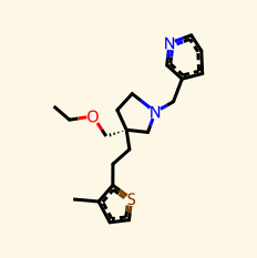 CCOC[C@]1(CCc2sccc2C)CCN(Cc2cccnc2)C1